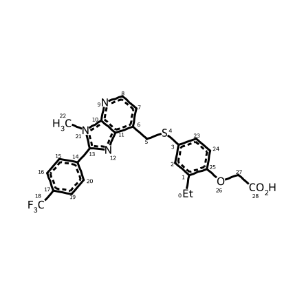 CCc1cc(SCc2ccnc3c2nc(-c2ccc(C(F)(F)F)cc2)n3C)ccc1OCC(=O)O